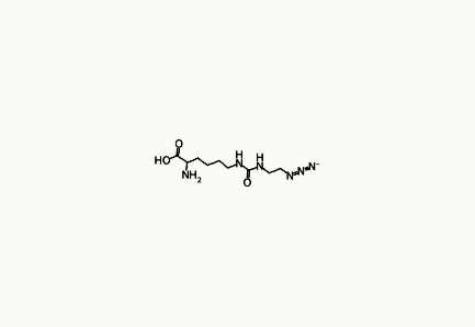 [N-]=[N+]=NCCNC(=O)NCCCCC(N)C(=O)O